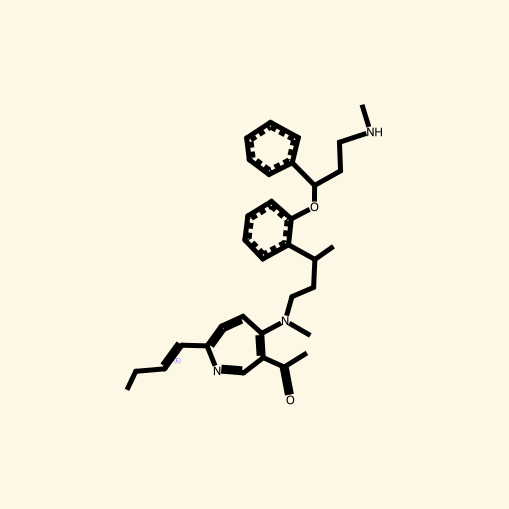 CC/C=C/C1=C=CC(N(C)CCC(C)c2ccccc2OC(CCNC)c2ccccc2)=C(C(C)=O)C=N1